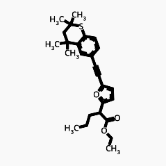 CCCC(C(=O)OCC)c1ccc(C#Cc2ccc3c(c2)C(C)(C)CC(C)(C)S3)o1